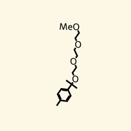 COCCOCCOCCOC(C)(C)c1ccc(C)cc1